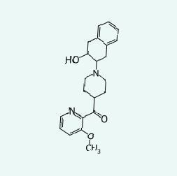 COc1cccnc1C(=O)C1CCN(C2Cc3ccccc3CC2O)CC1